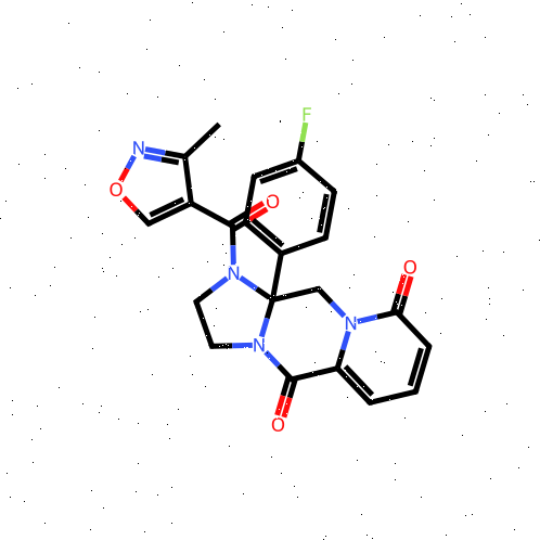 Cc1nocc1C(=O)N1CCN2C(=O)c3cccc(=O)n3CC12c1ccc(F)cc1